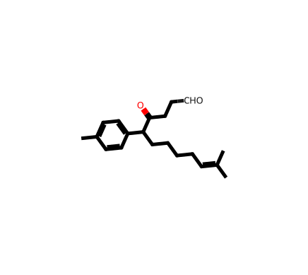 CC(C)=CCCCCC(C(=O)CCC=O)c1ccc(C)cc1